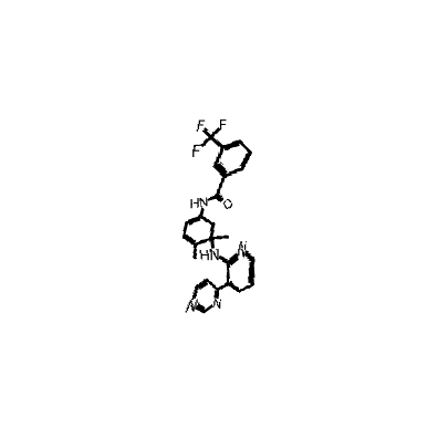 CC1=CC=C(NC(=O)c2cccc(C(F)(F)F)c2)CC1(C)Nc1ncccc1-c1ccncn1